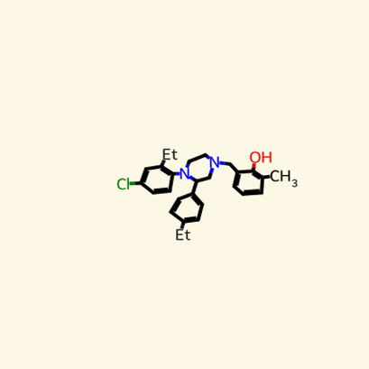 CCc1ccc(C2CN(Cc3cccc(C)c3O)CCN2c2ccc(Cl)cc2CC)cc1